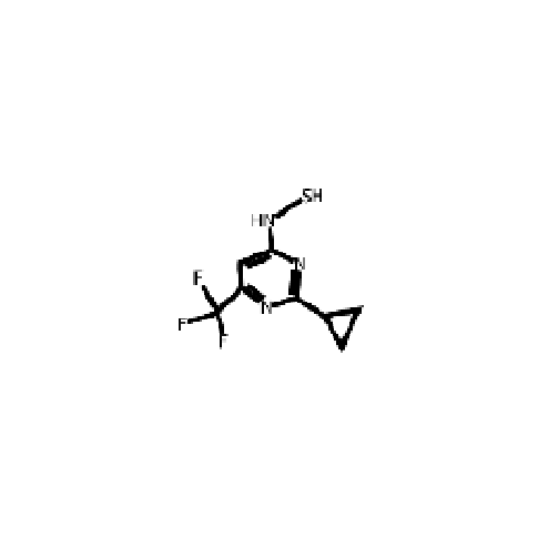 FC(F)(F)c1cc(NS)nc(C2CC2)n1